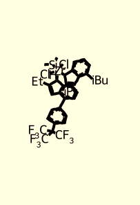 CCC1=Cc2c(-c3ccc(C(C(F)(F)F)(C(F)(F)F)C(F)(F)F)cc3)cccc2[CH]1[Zr]([Cl])([Cl])([CH]1C(C(C)C)=Cc2c(C(C)CC)cccc21)[SiH](C)C